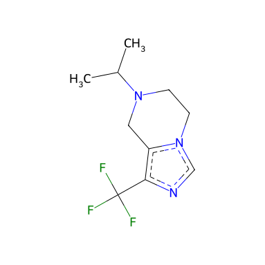 CC(C)N1CCn2cnc(C(F)(F)F)c2C1